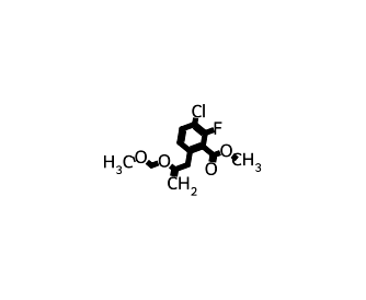 C=C(Cc1ccc(Cl)c(F)c1C(=O)OC)OCOC